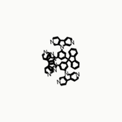 c1ccc2c(c1)-c1ccccc1C2(c1cc(-n2c3cnccc3c3ccncc32)cc(-n2c3cnccc3c3ccncc32)c1)c1cc(-n2c3cnccc3c3ccncc32)cc(-n2c3cnccc3c3ccncc32)c1